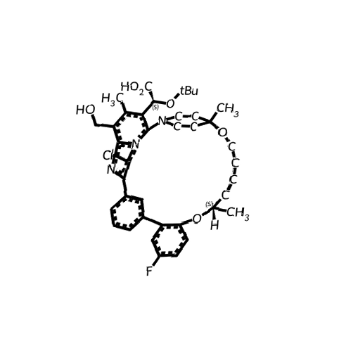 Cc1c([C@H](OC(C)(C)C)C(=O)O)c2n3c(Cl)c(nc3c1CO)-c1cccc(c1)-c1cc(F)ccc1O[C@@H](C)CCCCOC1(C)CCN2CC1